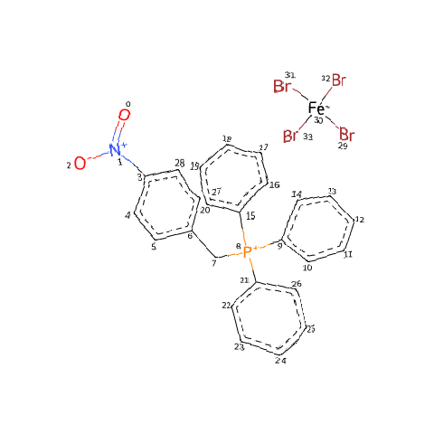 O=[N+]([O-])c1ccc(C[P+](c2ccccc2)(c2ccccc2)c2ccccc2)cc1.[Br][Fe-]([Br])([Br])[Br]